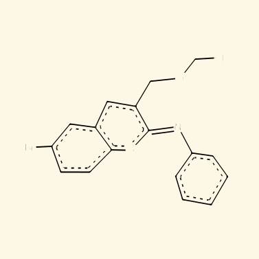 CCOCc1cc2cc(Br)ccc2oc1=Nc1ccccc1